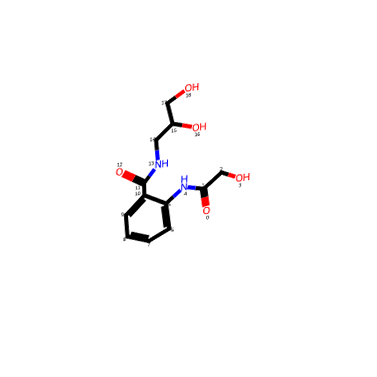 O=C(CO)Nc1ccccc1C(=O)NCC(O)CO